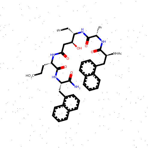 CC(=O)N[C@@H](Cc1cccc2ccccc12)C(=O)N[C@H](C(=O)N[C@@H](CC(C)C)[C@@H](O)CC(=O)N[C@@H](CCC(=O)O)C(=O)N[C@@H](Cc1cccc2ccccc12)C(N)=O)C(C)C